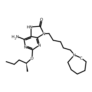 CCC[C@H](C)Oc1nc(N)c2[nH]c(=O)n(CCCCCN3CCCCCC3)c2n1